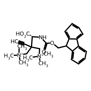 C#CC(C[N+](C)(C)C)(C[N+](C)(C)C)[C@@H](NC(=O)OCC1c2ccccc2-c2ccccc21)C(=O)O